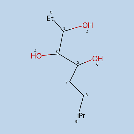 CCC(O)C(O)C(O)CCC(C)C